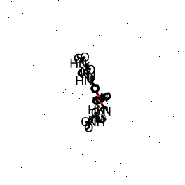 COC(=O)N[C@@H](C)C(=O)N1CCC[C@H]1c1ncc(-c2ccc(-c3ccc(-c4cnc([C@@H]5CCCN5C(=O)[C@H](C)NC(=O)OC)[nH]4)c4c3C3CCC4N3c3ccccc3)cc2)[nH]1